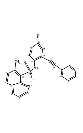 Cc1ccc2cccnc2c1S(=O)(=O)Nc1ccc(F)cc1C#Cc1cccnc1